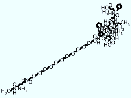 CCCNC(=O)[C@@H](N)CCCCNC(=O)CCOCCOCCOCCOCCOCCOCCOCCOCCOCCOCCOCCOC(=O)Nc1cc(C[N+]2(C)CCCC[C@@H]2C(=O)N[C@H](C(=O)N(C)[C@H](C[C@@H](OCCC)c2nc(C(=O)N[C@@H](Cc3ccccc3)C[C@H](C)C(=O)O)cs2)C(C)C)[C@@H](C)CC)ccc1O[C@@H]1O[C@H](C(=O)O)[C@@H](O)[C@H](O)[C@H]1O